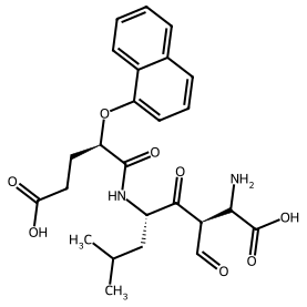 CC(C)C[C@H](NC(=O)[C@@H](CCC(=O)O)Oc1cccc2ccccc12)C(=O)[C@H](C=O)C(N)C(=O)O